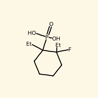 CCC1(F)CCCCC1(CC)P(=O)(O)O